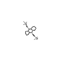 C[Si](C)(C)C#Cc1c2ccccc2c(C#C[Si](C)(C)C)c2ccccc12